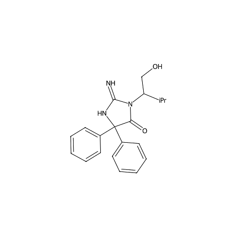 CC(C)C(CO)N1C(=N)NC(c2ccccc2)(c2ccccc2)C1=O